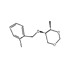 Cc1ccccc1CO[C@@H]1COCO[C@@H]1C